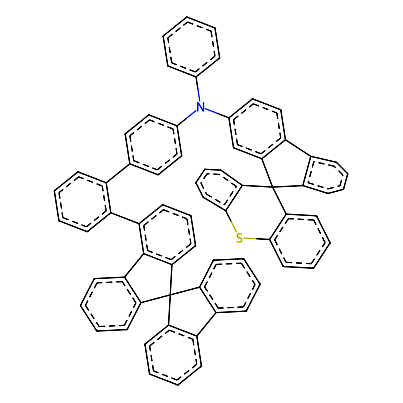 c1ccc(N(c2ccc(-c3ccccc3-c3cccc4c3-c3ccccc3C43c4ccccc4-c4ccccc43)cc2)c2ccc3c(c2)C2(c4ccccc4Sc4ccccc42)c2ccccc2-3)cc1